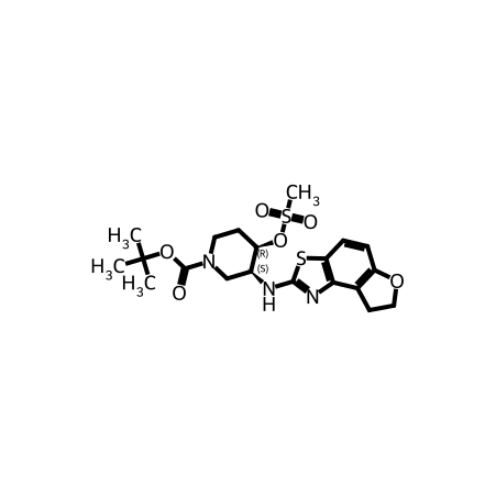 CC(C)(C)OC(=O)N1CC[C@@H](OS(C)(=O)=O)[C@@H](Nc2nc3c4c(ccc3s2)OCC4)C1